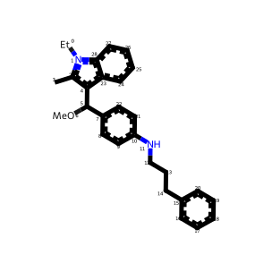 CCn1c(C)c(C(OC)c2ccc(NCCCc3ccccc3)cc2)c2ccccc21